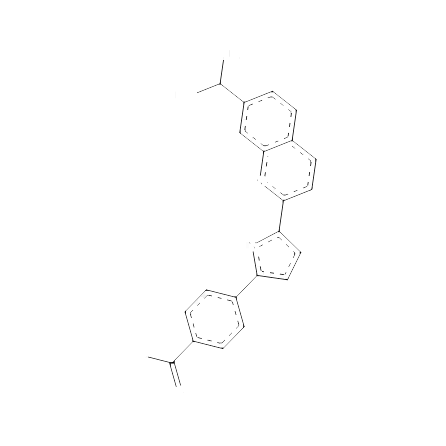 CC(C)c1ccc2ccc(-c3ccc(-c4ccc(C(=O)O)cc4)[nH]3)nc2c1